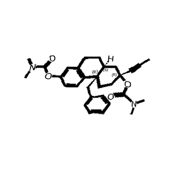 CC#C[C@@]1(OC(=O)N(C)C)CC[C@]2(Cc3ccccc3)c3ccc(OC(=O)N(C)C)cc3CC[C@H]2C1